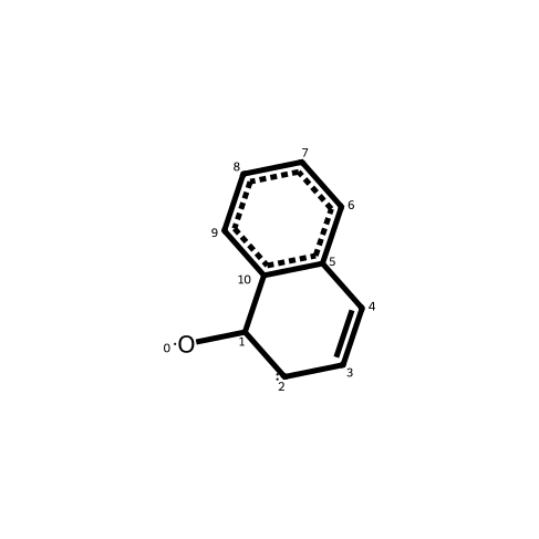 [O]C1[C]C=Cc2ccccc21